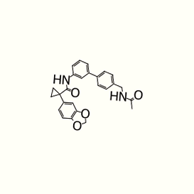 CC(=O)NCc1ccc(-c2cccc(NC(=O)C3(c4ccc5c(c4)OCO5)CC3)c2)cc1